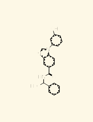 Cc1cccc(-n2cnc3cc(C(=O)NC(C)c4ccccc4)ccc32)c1